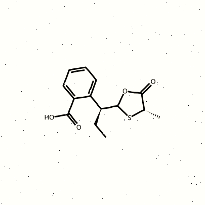 CC[C@@H](c1ccccc1C(=O)O)C1OC(=O)[C@H](C)S1